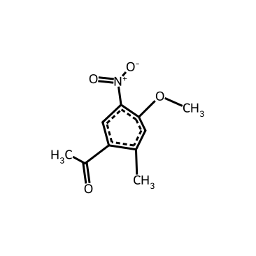 COc1cc(C)c(C(C)=O)cc1[N+](=O)[O-]